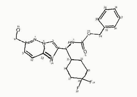 O=C(N[C@H](c1cn2nc(CCl)ccc2n1)C1CCC(F)(F)CC1)OCc1ccccc1